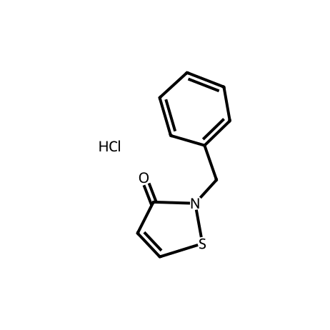 Cl.O=c1ccsn1Cc1ccccc1